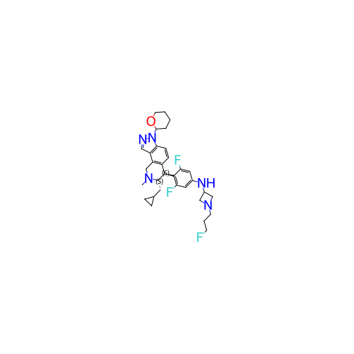 CN1Cc2c(ccc3c2cnn3C2CCCCO2)[C@@H](c2c(F)cc(NC3CN(CCCF)C3)cc2F)[C@@H]1CC1CC1